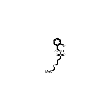 COCOCCCS(=O)(=O)N[C@H](C)c1ccccc1Br